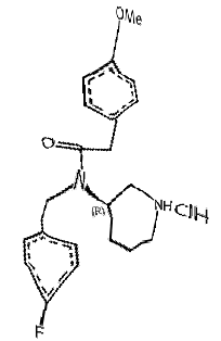 COc1ccc(CC(=O)N(Cc2ccc(F)cc2)[C@@H]2CCCNC2)cc1.Cl